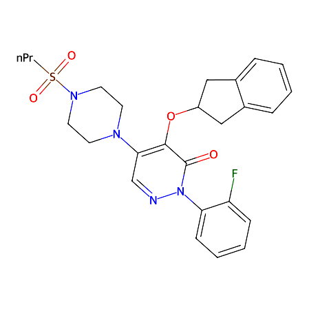 CCCS(=O)(=O)N1CCN(c2cnn(-c3ccccc3F)c(=O)c2OC2Cc3ccccc3C2)CC1